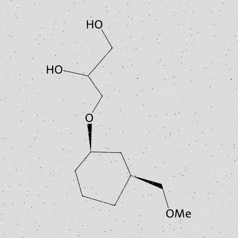 COC[C@H]1CCC[C@@H](OCC(O)CO)C1